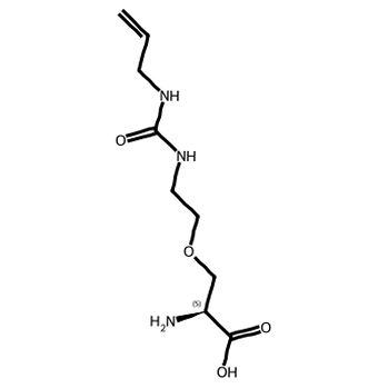 C=CCNC(=O)NCCOC[C@H](N)C(=O)O